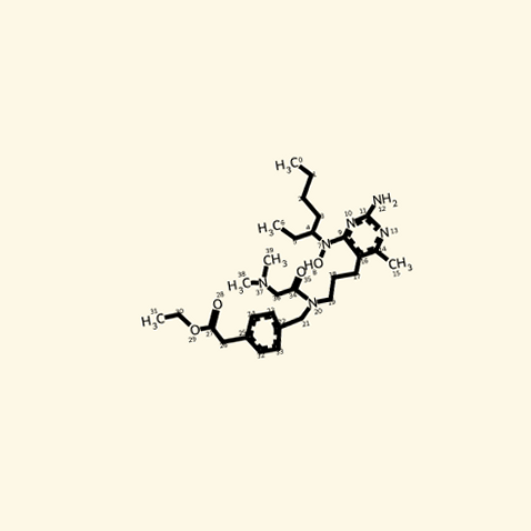 CCCCC(CC)N(O)c1nc(N)nc(C)c1CCCN(Cc1ccc(CC(=O)OCC)cc1)C(=O)CN(C)C